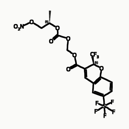 C[C@@H](CO[N+](=O)[O-])OC(=O)OCOC(=O)C1=Cc2cc(S(F)(F)(F)(F)F)ccc2O[C@@H]1C(F)(F)F